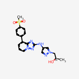 C[C@@H](O)Cn1cc(Nc2nc3c(-c4ccc(S(C)(=O)=O)cc4)cccn3n2)cn1